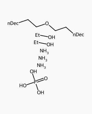 CCCCCCCCCCCCOCCCCCCCCCCCC.CCO.CCO.N.N.N.O=P(O)(O)O